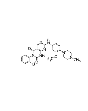 COc1cc(Nc2ncc3c(=O)n(-c4ccccc4Cl)c(=O)[nH]c3n2)ccc1N1CCN(C)CC1